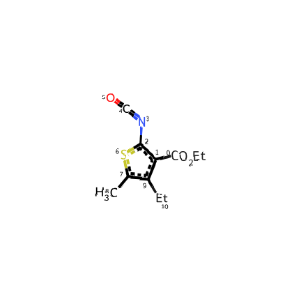 CCOC(=O)c1c(N=C=O)sc(C)c1CC